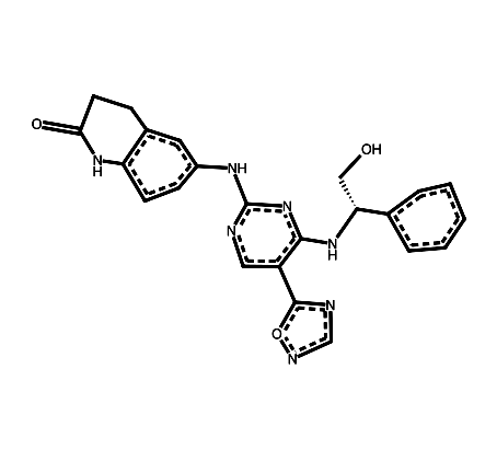 O=C1CCc2cc(Nc3ncc(-c4ncno4)c(N[C@H](CO)c4ccccc4)n3)ccc2N1